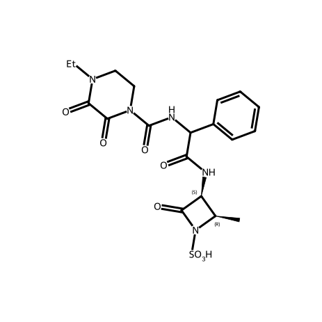 CCN1CCN(C(=O)NC(C(=O)N[C@@H]2C(=O)N(S(=O)(=O)O)[C@@H]2C)c2ccccc2)C(=O)C1=O